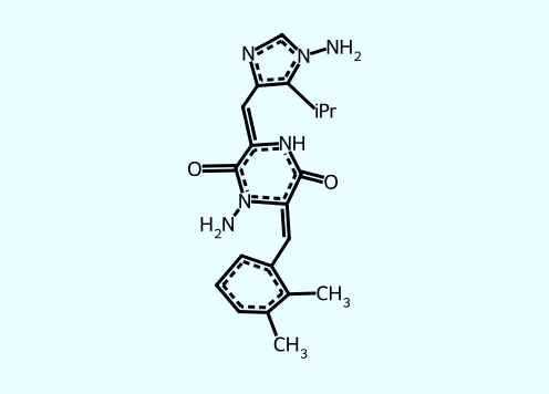 Cc1cccc(/C=c2/c(=O)[nH]/c(=C\c3ncn(N)c3C(C)C)c(=O)n2N)c1C